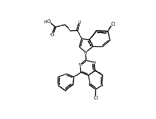 O=C(O)CCC(=O)c1cn(-c2nc(-c3ccccc3)c3cc(Cl)ccc3n2)c2ccc(Cl)cc12